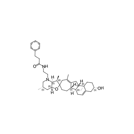 CC1=C2C[C@H]3[C@@H](CC=C4C[C@@H](O)CC[C@@]43C)[C@@H]2CCC2(C1)O[C@@H]1C[C@H](C)CN(CCNC(=O)CCc3ccccc3)[C@H]1[C@H]2C